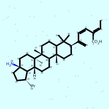 C=C(/C=C\C(=C/C)C(=O)O)[C@H]1CC[C@@]2(C)C(CC[C@]3(C)C2CC[C@@H]2C4[C@H](C(C)C)CC[C@]4(N)CC[C@]23C)C1(C)C